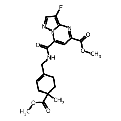 COC(=O)c1cc(C(=O)NCC2=CCC(C)(C(=O)OC)CC2)n2ncc(F)c2n1